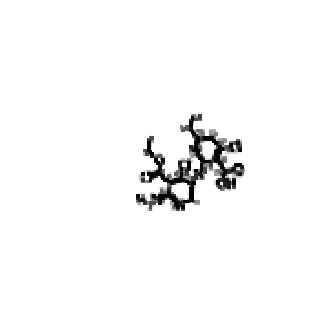 CCOC(=O)c1c(Cl)ccnc1N.CCc1cc(Cl)c(C(=O)O)c(N)n1